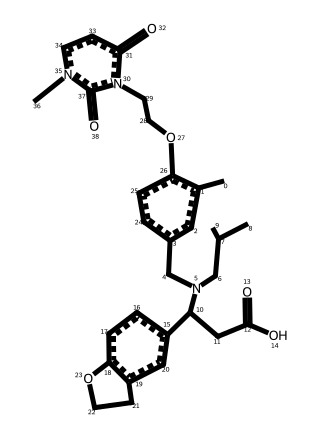 Cc1cc(CN(CC(C)C)C(CC(=O)O)c2ccc3c(c2)CCO3)ccc1OCCn1c(=O)ccn(C)c1=O